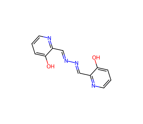 Oc1cccnc1C=NN=Cc1ncccc1O